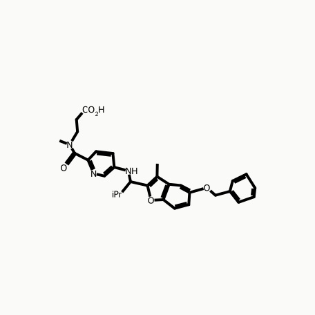 Cc1c(C(Nc2ccc(C(=O)N(C)CCC(=O)O)nc2)C(C)C)oc2ccc(OCc3ccccc3)cc12